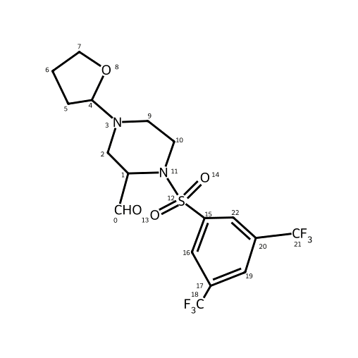 O=CC1CN(C2CCCO2)CCN1S(=O)(=O)c1cc(C(F)(F)F)cc(C(F)(F)F)c1